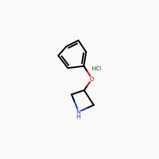 Cl.c1ccc(OC2CNC2)cc1